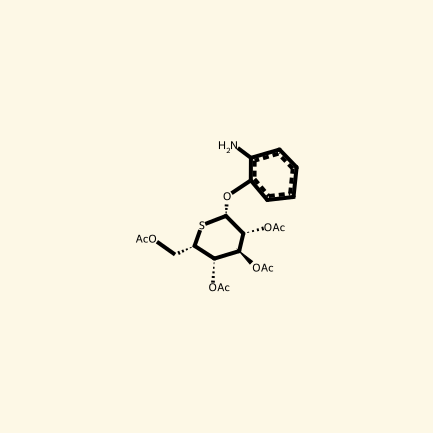 CC(=O)OC[C@@H]1S[C@H](Oc2ccccc2N)[C@H](OC(C)=O)[C@@H](OC(C)=O)[C@@H]1OC(C)=O